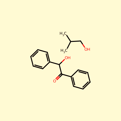 CC(C)CO.O=C(c1ccccc1)C(O)c1ccccc1